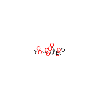 C=C(C)C(=O)OCCC(=O)OC1C2CC3C1OC(=O)C3C2C(=O)OC1(CC)CCCC1